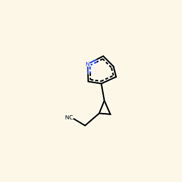 N#CCC1CC1c1cccnc1